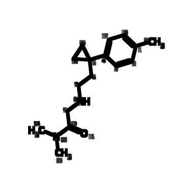 Cc1ccc(C2(CCNCC(=O)N(C)C)CC2)cc1